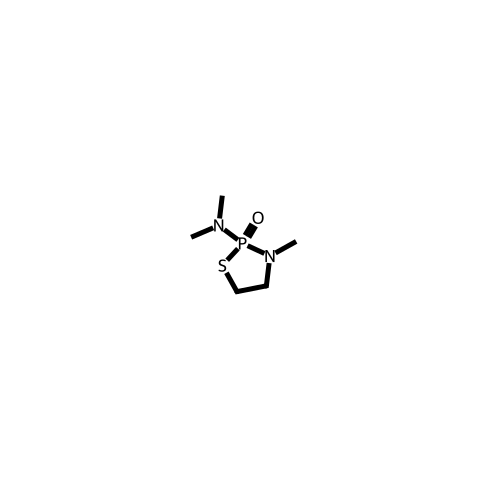 CN(C)P1(=O)SCCN1C